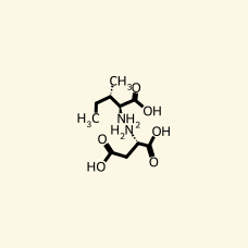 CC[C@H](C)[C@H](N)C(=O)O.N[C@@H](CC(=O)O)C(=O)O